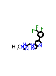 Cn1cnc(Cn2ncc3ncc(-c4ccc(F)c(C(F)F)c4)cc32)n1